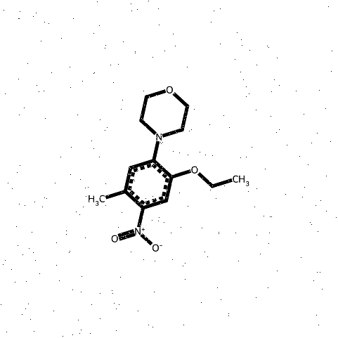 CCOc1cc([N+](=O)[O-])c(C)cc1N1CCOCC1